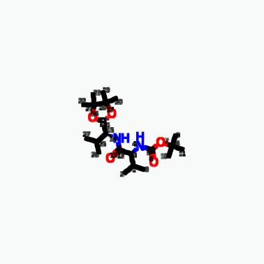 CC(C)[C@H](NC(=O)OC(C)(C)C)C(=O)N[C@@H](B1OC(C)(C)C(C)(C)O1)C(C)C